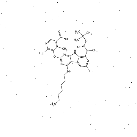 Cc1ncc(C(=O)O)c(C)c1Oc1nc(NCCCCCCN)c2c(n1)[nH]c1c(N(C)C(=O)OC(C)(C)C)cc(F)cc12